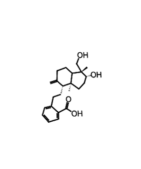 C=C1CCC2[C@](C)(CO)[C@H](O)CC[C@@]2(C)[C@@H]1CCc1ccccc1C(=O)O